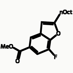 CCCCCCCCc1cc2cc(C(=O)OC)cc(F)c2o1